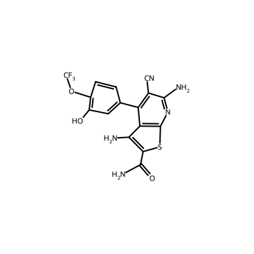 N#Cc1c(N)nc2sc(C(N)=O)c(N)c2c1-c1ccc(OC(F)(F)F)c(O)c1